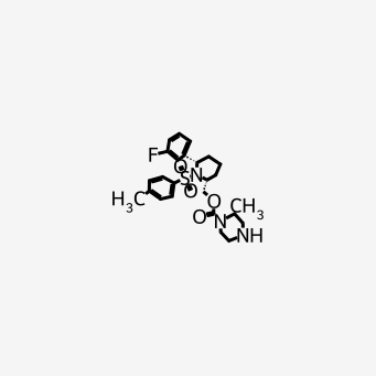 Cc1ccc(S(=O)(=O)N2[C@@H](COC(=O)N3CCNC[C@H]3C)CCC[C@H]2c2cccc(F)c2)cc1